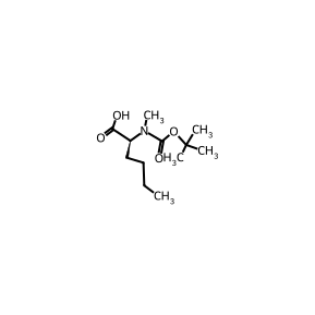 CCCC[C@@H](C(=O)O)N(C)C(=O)OC(C)(C)C